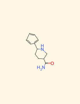 NC(=O)C1CCC(c2ccccc2)NC1